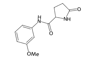 COc1cccc(NC(=O)C2CCC(=O)N2)c1